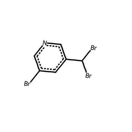 Brc1cncc(C(Br)Br)c1